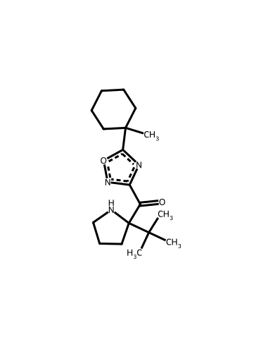 CC1(c2nc(C(=O)C3(C(C)(C)C)CCCN3)no2)CCCCC1